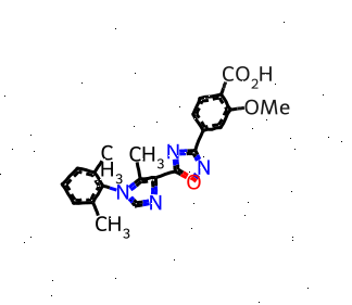 COc1cc(-c2noc(-c3ncn(-c4c(C)cccc4C)c3C)n2)ccc1C(=O)O